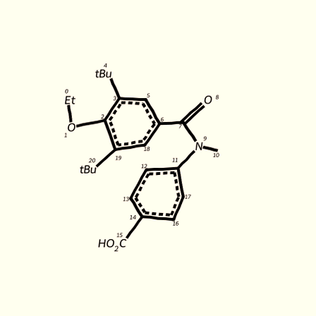 CCOc1c(C(C)(C)C)cc(C(=O)N(C)c2ccc(C(=O)O)cc2)cc1C(C)(C)C